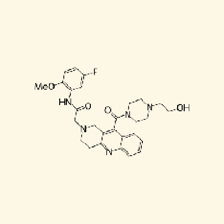 COc1ccc(F)cc1NC(=O)CN1CCc2nc3ccccc3c(C(=O)N3CCN(CCO)CC3)c2C1